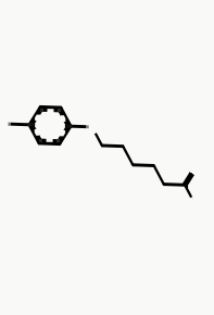 O=C(O)CCCCCOc1ccc(I)cc1